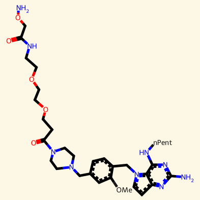 CCCCCNc1nc(N)nc2ccn(Cc3ccc(CN4CCN(C(=O)CCOCCOCCNC(=O)CON)CC4)cc3OC)c12